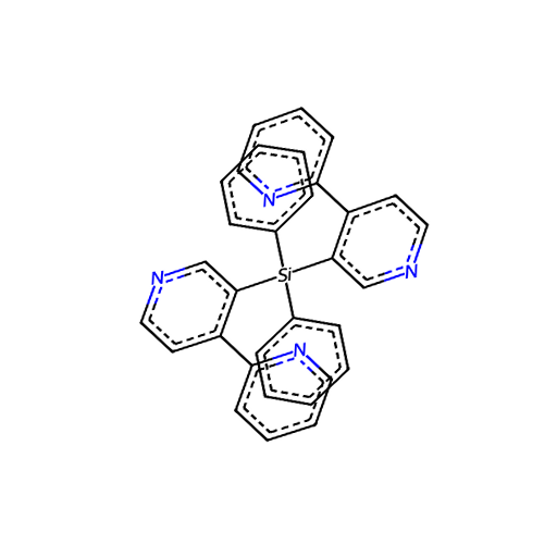 c1ccc([Si](c2ccccc2)(c2cnccc2-c2ccccn2)c2cnccc2-c2ccccn2)cc1